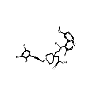 COc1ccc2ncc(F)c([C@@H](F)CCC3(CC(=O)O)CCN(CC#Cc4cc(F)cc(F)c4F)CC3)c2c1